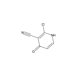 N#Cc1c(Cl)[nH]ccc1=O